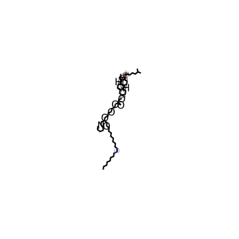 CCCCCCCC/C=C\CCCCCCCCOCC(CN1CCCCC1)OCCOCCOC(=O)CO[C@H]1CC[C@@]2(C)C(=CC[C@H]3[C@@H]4CC[C@H]([C@H](C)CCCC(C)C)[C@@]4(C)CC[C@@H]32)C1